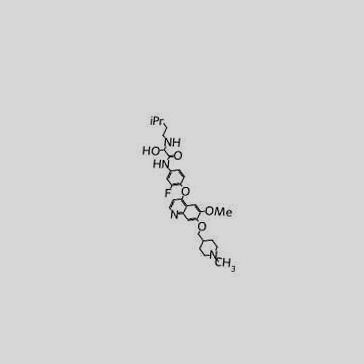 COc1cc2c(Oc3ccc(NC(=O)C(O)NCCC(C)C)cc3F)ccnc2cc1OCC1CCN(C)CC1